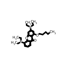 CCCCCOc1cc(N(CC)CC)cc2oc3c(N(CC)CC)cccc3c(=O)c12